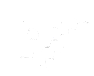 CC(C)c1nc(C(C)C)c(CC(=O)O)c(-c2ccc(F)cc2)c1/C=C/C(O)CC(O)CC(=O)O